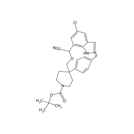 CC(C)(C)OC(=O)N1CCC(COC(C#N)c2cc(Cl)cc3cn[nH]c23)(c2ccc(F)cc2)CC1